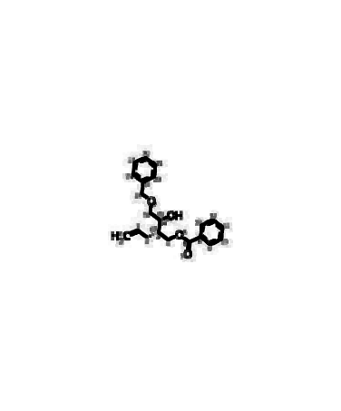 C=CC[C@@H](COC(=O)c1ccccc1)[C@H](O)COCc1ccccc1